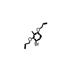 C=CCOc1ccc(Br)c(OCC=C)c1C